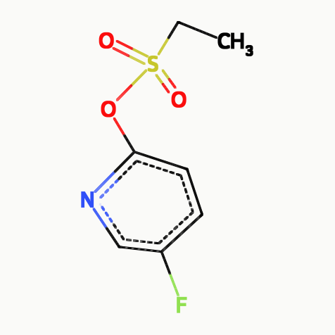 CCS(=O)(=O)Oc1ccc(F)cn1